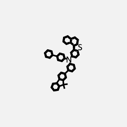 CC1(C)c2ccccc2-c2ccc(-c3cccc(N(c4ccc(-c5ccccc5)cc4)c4ccc5sc6ccc7ccccc7c6c5c4)c3)cc21